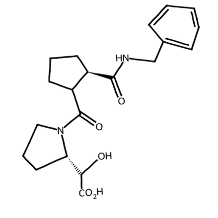 O=C(O)C(O)[C@@H]1CCCN1C(=O)C1CCC[C@H]1C(=O)NCc1ccccc1